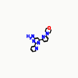 Nc1cc(-c2cccc(N3CCOCC3)n2)nc(-c2ccccn2)n1